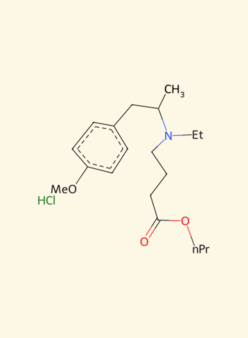 CCCOC(=O)CCCN(CC)C(C)Cc1ccc(OC)cc1.Cl